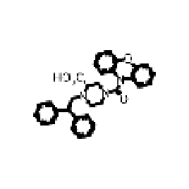 O=C(O)[C@@H]1CN(C(=O)N2c3ccccc3Oc3ccccc32)CCN1CC(c1ccccc1)c1ccccc1